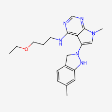 CCOCCCNc1ncnc2c1c(N1Cc3ccc(C)cc3N1)cn2C